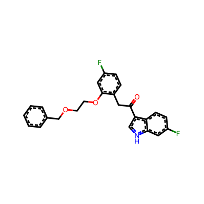 O=C(Cc1ccc(F)cc1OCCOCc1ccccc1)c1c[nH]c2cc(F)ccc12